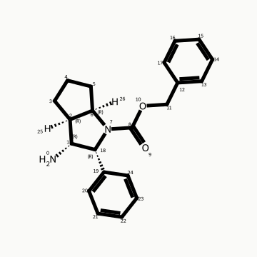 N[C@@H]1[C@H]2CCC[C@H]2N(C(=O)OCc2ccccc2)[C@@H]1c1ccccc1